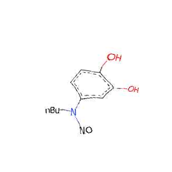 CCCCN(N=O)c1ccc(O)c(O)c1